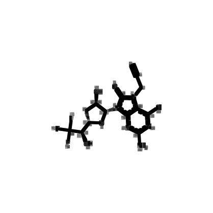 C#CCn1c(=O)n([C@@H]2O[C@H]([C@@H](O)C(F)(F)F)C[C@H]2O)c2nc(N)nc(Cl)c21